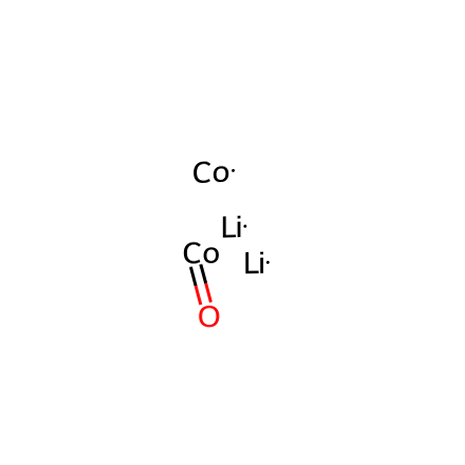 [Co].[Li].[Li].[O]=[Co]